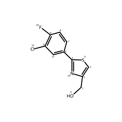 OCc1csc(-c2ccc(F)c(Cl)c2)n1